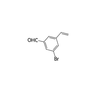 C=Cc1cc(Br)cc(C=O)c1